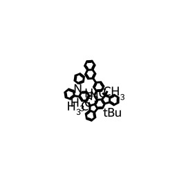 CC(C)(C)c1c2c(c(N(c3cccc(-c4ccc5ccccc5c4)c3)c3ccc4c5ccccc5n(-c5ccccc5)c4c3)c3c1-c1ccccc1C3(C)C)C(C)(C)c1ccccc1-2